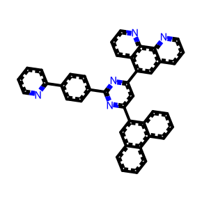 c1ccc(-c2ccc(-c3nc(-c4cc5ccccc5c5ccccc45)cc(-c4cc5cccnc5c5ncccc45)n3)cc2)nc1